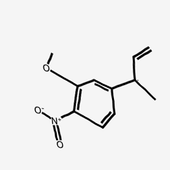 C=C[C](C)c1ccc([N+](=O)[O-])c(OC)c1